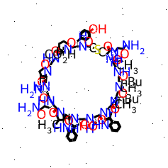 CCCC[C@H]1C(=O)N(C)[C@@H](CCCC)C(=O)N[C@@H](C)C(=O)NC(C(=O)NCC(N)=O)CSCC(=O)N[C@@H](Cc2ccc(O)cc2)C(=O)N2CCCC[C@H]2C(=O)N[C@@H](CC(=O)O)C(=O)N2CCC[C@H]2C(=O)N[C@@H](CN)C(=O)N[C@@H](CCC(N)=O)C(=O)N2CC(C)C[C@H]2C(=O)N[C@@H](Cc2c[nH]c3ccccc23)C(=O)N[C@@H](CO)C(=O)N[C@@H](Cc2c[nH]c3ccccc23)C(=O)N1C